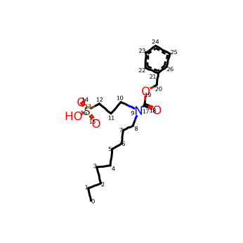 CCCCCCCCCN(CCCS(=O)(=O)O)C(=O)OCc1ccccc1